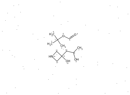 CC(C)(C)OC=O.CC(O)CC1(O)CNC1